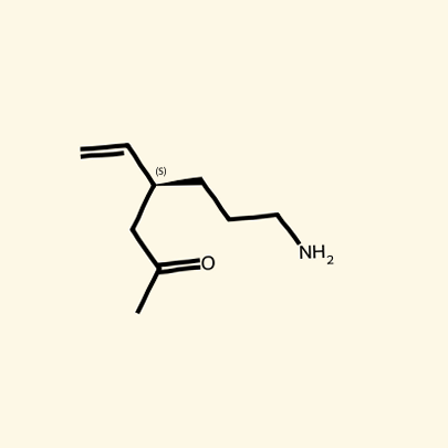 C=C[C@@H](CCCN)CC(C)=O